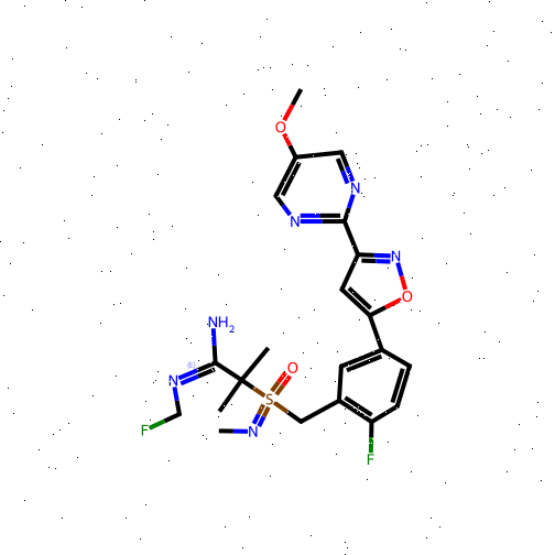 CN=S(=O)(Cc1cc(-c2cc(-c3ncc(OC)cn3)no2)ccc1F)C(C)(C)/C(N)=N\CF